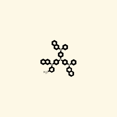 CC1C=C(N(c2ccc(N(c3ccc(N(C4=CC=C5C=CC=CC5C4)c4ccccc4)cc3)c3ccc(N(c4ccccc4)c4ccc5ccccc5c4)cc3)cc2)c2ccc3ccccc3c2)C=CC1